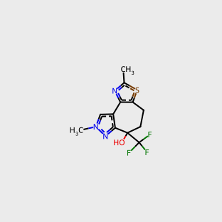 Cc1nc2c(s1)CCC(O)(C(F)(F)F)c1nn(C)cc1-2